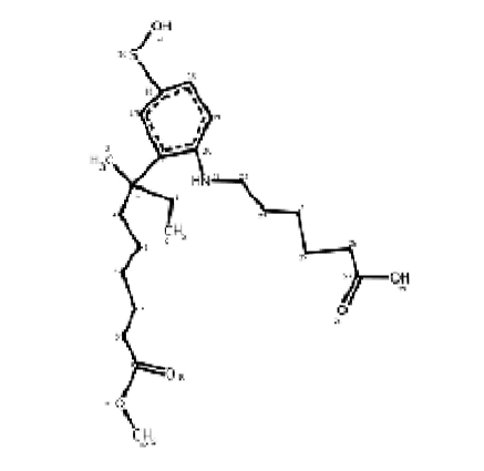 CCC(C)(CCCCCC(=O)OC)c1cc(SO)ccc1NCCCCCC(=O)O